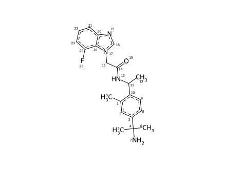 Cc1cc(C(C)(C)N)ccc1C(C)NC(=O)Cn1cnc2cccc(F)c21